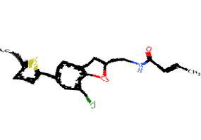 C/C=C/C(=O)NCC1Cc2cc(-c3ccc(C(C)=O)s3)cc(Cl)c2O1